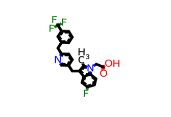 Cc1c(Cc2ccc(Cc3cccc(C(F)(F)F)c3)nc2)c2cc(F)ccc2n1CC(=O)O